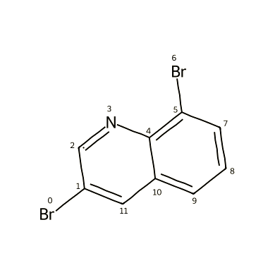 Brc1[c]nc2c(Br)cccc2c1